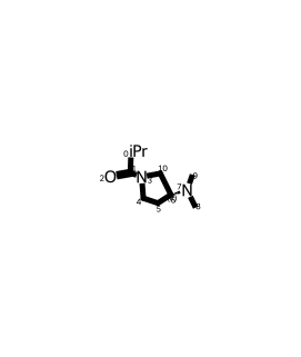 CC(C)C(=O)N1CC[C@@H](N(C)C)C1